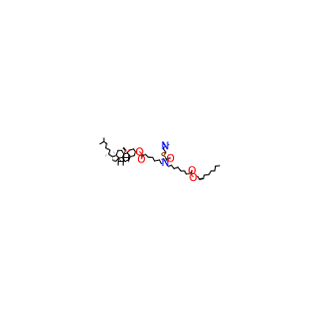 C=C[C@]12CC[C@]3(C)[C@@H]([C@H](C)CCCC(C)C)CC[C@H]3[C@@H]1CC=C1C[C@@H](OC(=O)CCCCCCN(CCCCCCCC(=O)OC/C=C\CCCCCC)C(=O)SCCN(C)C)CC[C@@]12C